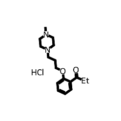 CCC(=O)c1ccccc1OCCCN1CCN(C)CC1.Cl